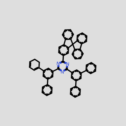 C1=CCCC(c2cc(-c3ccccc3)cc(-c3nc(-c4cc(-c5ccccc5)cc(-c5ccccc5)c4)nc(-c4ccc5c(c4)C4(c6ccccc6-c6ccccc64)c4ccccc4-5)n3)c2)=C1